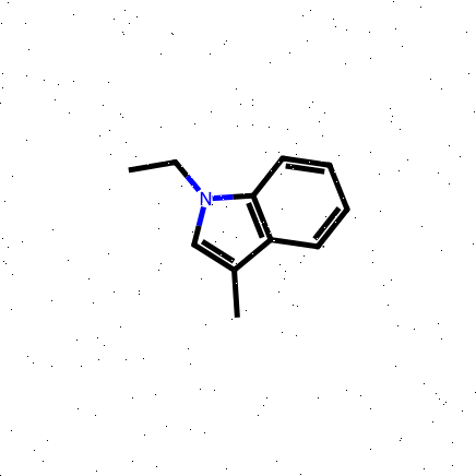 CCn1cc(C)c2[c]cccc21